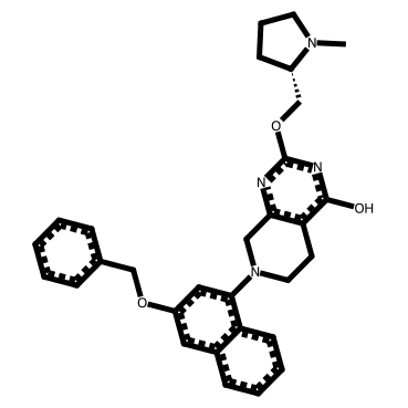 CN1CCC[C@H]1COc1nc(O)c2c(n1)CN(c1cc(OCc3ccccc3)cc3ccccc13)CC2